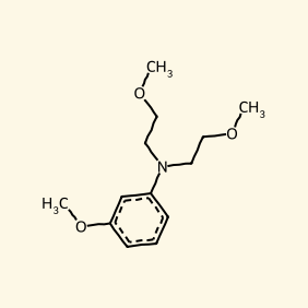 COCCN(CCOC)c1cccc(OC)c1